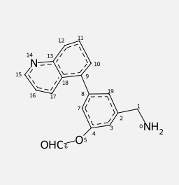 NCc1cc(OC=O)cc(-c2cccc3ncccc23)c1